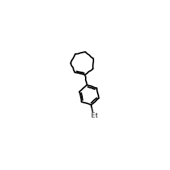 [CH2]Cc1ccc(C2=CCCCCC2)cc1